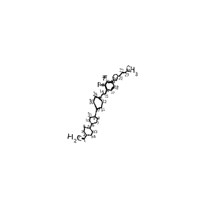 C=CC1CCC(C2CCC(C3CCC(CCc4ccc(OCCCC)c(F)c4F)CC3)CC2)CC1